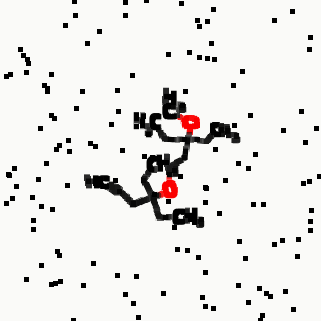 C#CCC(CC)(CC)OCCC(CC)(CC)OC